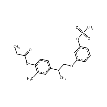 CCC(=O)Oc1ccc(C(C)COc2cccc(OS(C)(=O)=O)c2)cc1C